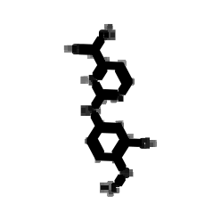 COc1ccc(Nc2nccc(C(=O)O)n2)cc1Cl